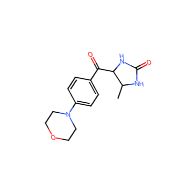 CC1NC(=O)NC1C(=O)c1ccc(N2CCOCC2)cc1